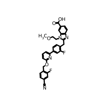 COCCn1c(Cc2ccc(-c3cccc(OCc4ccc(C#N)cc4F)n3)cc2F)nc2ccc(C(=O)O)cc21